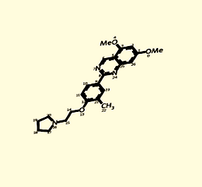 COc1cc(OC)c2cnc(-c3ccc(OCCN4CCCC4)c(C)c3)nc2c1